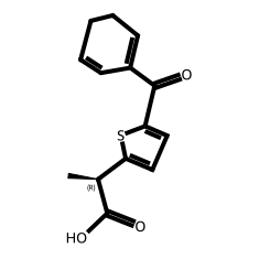 C[C@H](C(=O)O)c1ccc(C(=O)C2=CCCC=C2)s1